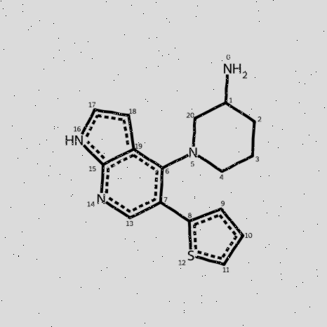 NC1CCCN(c2c(-c3cccs3)cnc3[nH]ccc23)C1